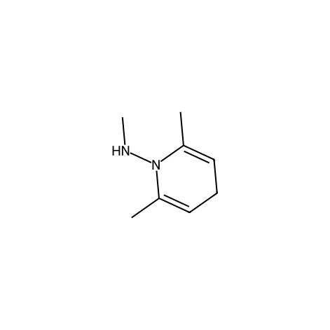 CNN1C(C)=CCC=C1C